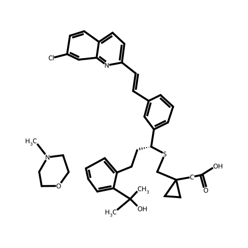 CC(C)(O)c1ccccc1CC[C@@H](SCC1(CC(=O)O)CC1)c1cccc(C=Cc2ccc3ccc(Cl)cc3n2)c1.CN1CCOCC1